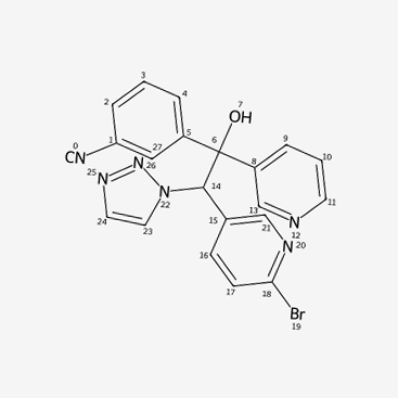 [C-]#[N+]c1cccc(C(O)(c2cccnc2)C(c2ccc(Br)nc2)n2ccnn2)c1